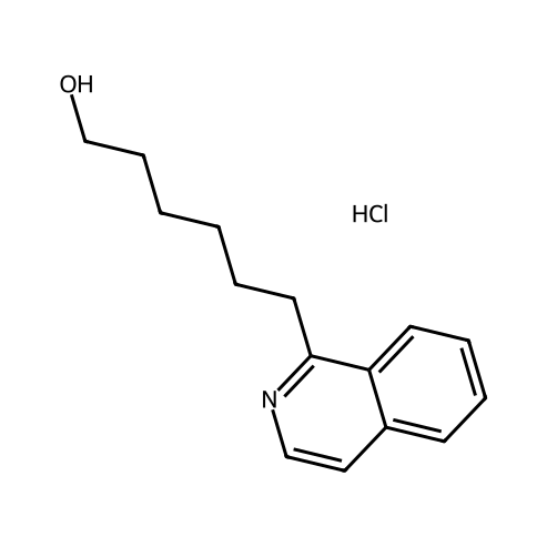 Cl.OCCCCCCc1nccc2ccccc12